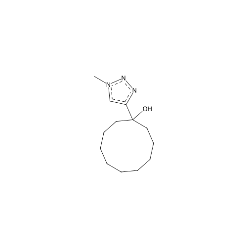 Cn1cc(C2(O)CCCCCCCCC2)nn1